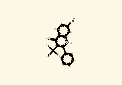 O=c1c(C(F)(F)F)c(-c2ccccc2)oc2cc(O)ccc12